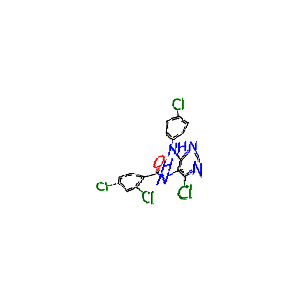 O=C(Nc1c(Cl)ncnc1Nc1ccc(Cl)cc1)c1ccc(Cl)cc1Cl